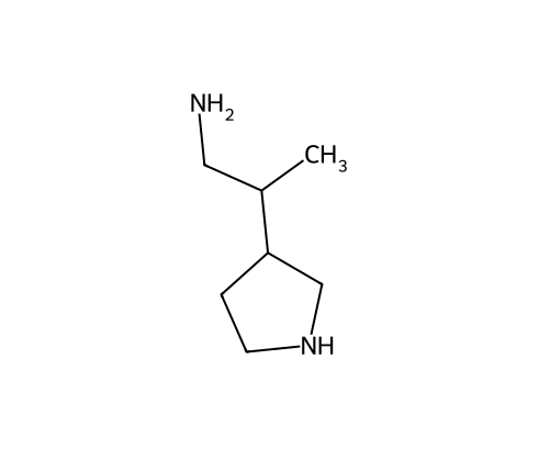 CC(CN)C1CCNC1